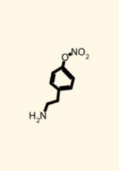 NCCc1ccc(O[N+](=O)[O-])cc1